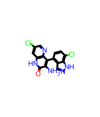 Nc1c(-c2ccc(Cl)c3[nH]ncc23)c2ncc(Cl)cc2[nH]c1=O